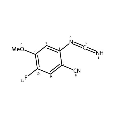 COc1cc(N=C=N)c(C#N)cc1F